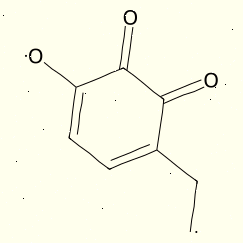 [CH2]CC1=CC=C([O])C(=O)C1=O